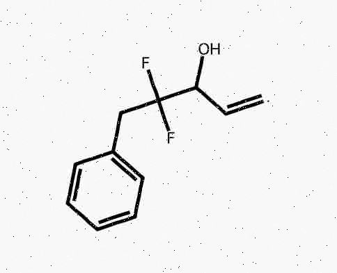 [CH]=CC(O)C(F)(F)Cc1ccccc1